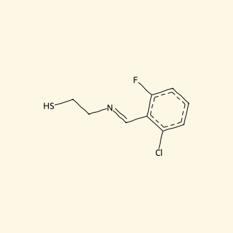 Fc1cccc(Cl)c1C=NCCS